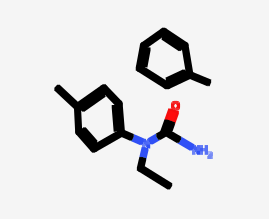 CCN(C(N)=O)c1ccc(C)cc1.Cc1ccccc1